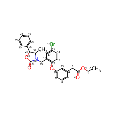 CCOC(=O)Cc1cccc(Oc2ccc(Br)cc2CN2C(=O)OC(c3ccccc3)C2C)c1